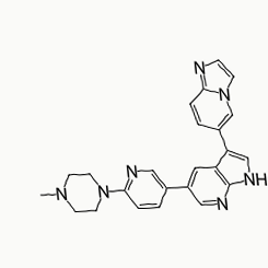 CN1CCN(c2ccc(-c3cnc4[nH]cc(-c5ccc6nccn6c5)c4c3)cn2)CC1